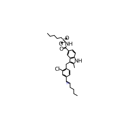 CCCC/C=C/c1ccc(Cc2c(C)[nH]c3ccc(C(=O)NS(=O)(=O)CCCCC)cc23)c(Cl)c1